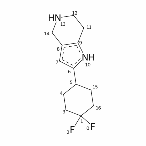 FC1(F)CCC(c2cc3c([nH]2)CCNC3)CC1